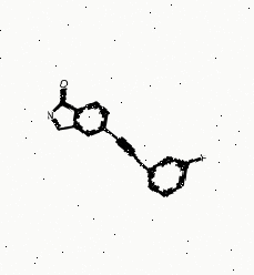 O=C1N=Cc2cc(C#Cc3cccc(F)c3)ccc21